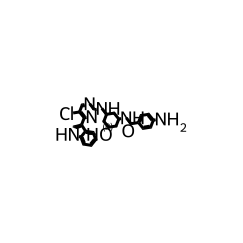 Nc1ccc(C(=O)NC2CC(Nc3ncc(Cl)c(-c4c[nH]c5ccccc45)n3)C[C@@H](O)C2)cc1